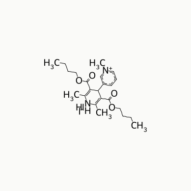 CCCCOC(=O)C1=C(C)NC(C)=C(C(=O)OCCCC)C1c1ccc[n+](C)c1.I.[I-]